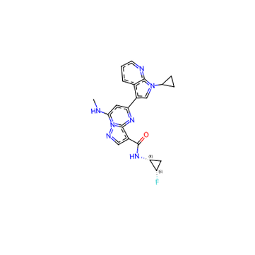 CNc1cc(-c2cn(C3CC3)c3ncccc23)nc2c(C(=O)N[C@@H]3C[C@@H]3F)cnn12